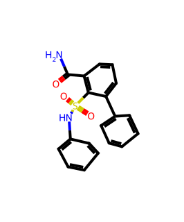 NC(=O)c1cccc(-c2ccccc2)c1S(=O)(=O)Nc1ccccc1